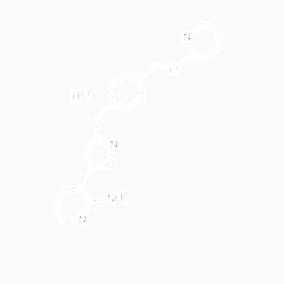 Cl.Nc1ncccc1-c1cc(Cc2ccc(COc3ccccn3)cc2)no1